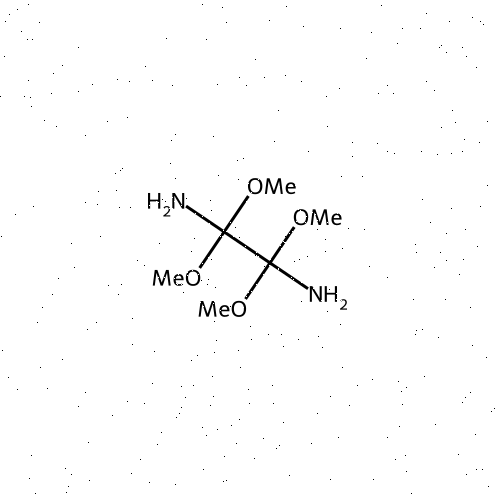 COC(N)(OC)C(N)(OC)OC